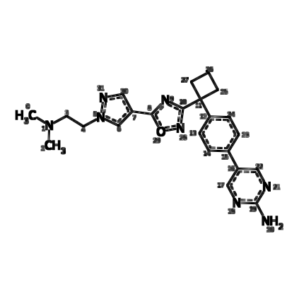 CN(C)CCn1cc(-c2nc(C3(c4ccc(-c5cnc(N)nc5)cc4)CCC3)no2)cn1